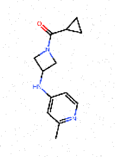 Cc1cc(NC2CN(C(=O)C3CC3)C2)ccn1